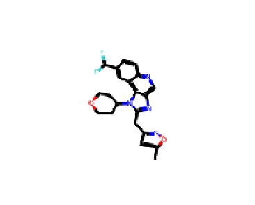 Cc1cc(Cc2nc3cnc4ccc(C(F)F)cc4c3n2C2CCOCC2)no1